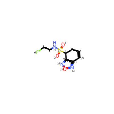 O=S(=O)(NCCF)C1CC=Cc2nonc21